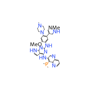 CN/C=C(\C=N)c1cc(Nc2nc(Nc3cnc4cccnc4c3P(C)C)c3cc[nH]c3n2)c(OC)cc1N1CCN(C)CC1